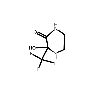 O=C1NCCNC1(O)C(F)(F)F